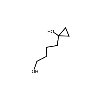 OCCCCC1(O)CC1